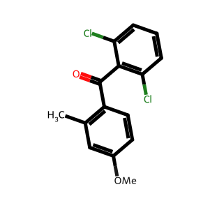 COc1ccc(C(=O)c2c(Cl)cccc2Cl)c(C)c1